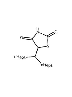 CCCCCCCC(CCCCCCC)C1SC(=O)NC1=O